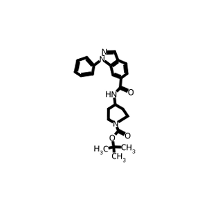 CC(C)(C)OC(=O)N1CCC(NC(=O)c2ccc3cnn(-c4ccccc4)c3c2)CC1